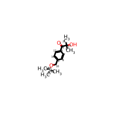 CC(C)(O)C(=O)c1ccc(CO[Si](C)(C)C)cc1